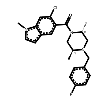 C[C@@H]1CN(Cc2ccc(F)cc2)[C@@H](C)CN1C(=O)c1cc2ccn(C)c2cc1Cl